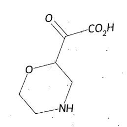 O=C(O)C(=O)C1CNCCO1